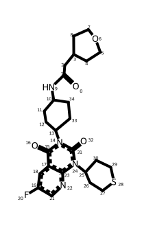 O=C(CC1CCOCC1)NC1CCC(n2c(=O)c3cc(F)cnc3n(C3CCSCC3)c2=O)CC1